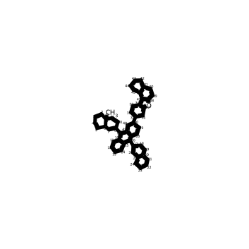 CC12C=CC=CC1C=C(c1c3ccccc3c(-c3ccc4ccccc4c3)c3ccc(-c4ccc5c(c4)oc4ccc6ccccc6c45)cc13)C=C2